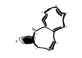 O=C1CC=[C]c2ccccc2N1